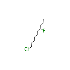 CCCC(F)CCCCCCCl